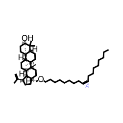 C=C(C)[C@@H]1CC[C@]2(COCCCCCCCC/C=C\CCCCCCCC)CC[C@]3(C)[C@H](CC[C@@H]4[C@@]5(C)CC[C@H](O)C(C)(C)[C@@H]5CC[C@]43C)[C@@H]12